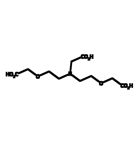 O=C(O)COCCN(CCOCC(=O)O)CC(=O)O